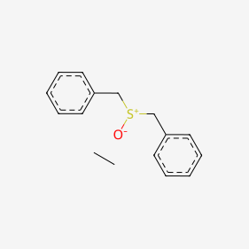 CC.[O-][S+](Cc1ccccc1)Cc1ccccc1